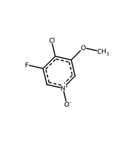 COc1c[n+]([O-])cc(F)c1Cl